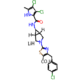 Cc1[nH]c(C(=O)N[C@H]2[C@@H]3CN(c4nc(Cc5ccc(Cl)cc5)c(C(=O)O)s4)C[C@@H]32)c(Cl)c1Cl.[LiH]